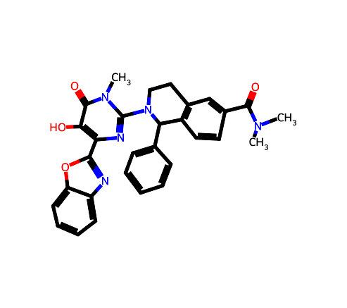 CN(C)C(=O)c1ccc2c(c1)CCN(c1nc(-c3nc4ccccc4o3)c(O)c(=O)n1C)C2c1ccccc1